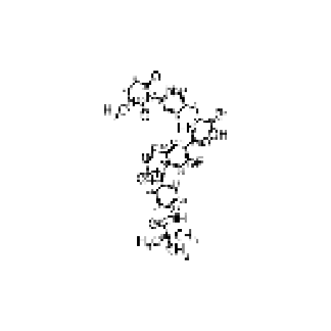 CN1CCC(=O)N(c2ccc(C[C@H](NC(=O)c3cc(F)c(N(c4ccc(NC(=O)C(C)(C)C)cc4)[SH](=O)=O)cc3F)C(=O)O)cn2)C1=O